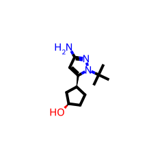 CC(C)(C)n1nc(N)cc1[C@H]1CC[C@@H](O)C1